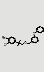 CC(C)(COCc1cccc(Oc2ccccc2)c1)c1ccc(Br)c(Cl)c1